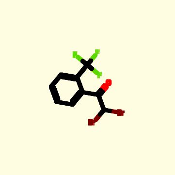 O=C(c1ccccc1C(F)(F)F)C(Br)Br